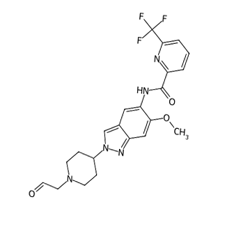 COc1cc2nn(C3CCN(CC=O)CC3)cc2cc1NC(=O)c1cccc(C(F)(F)F)n1